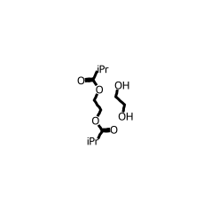 CC(C)C(=O)OCCOC(=O)C(C)C.OCCO